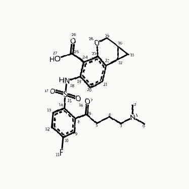 CN(C)CCCC(=O)c1cc(F)ccc1S(=O)(=O)Nc1ccc2c(c1C(=O)O)OCC1CC21